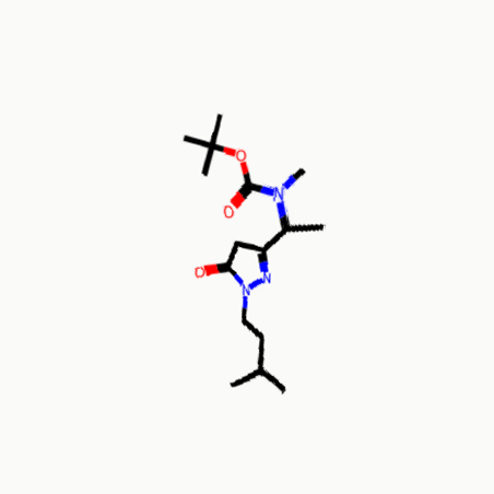 CC(C)CCN1N=C(C(C)N(C)C(=O)OC(C)(C)C)CC1=O